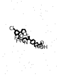 O=C(O)C1CC2(CC=C(c3csc4c(OC(c5ccc(Cl)cc5C5=CCCOC5)C(F)(F)F)ncnc34)CC2)CN1